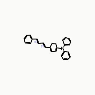 C1=C(/C=C/C=C/c2ccccc2)CCC(N(c2ccccc2)c2ccccc2)=C1